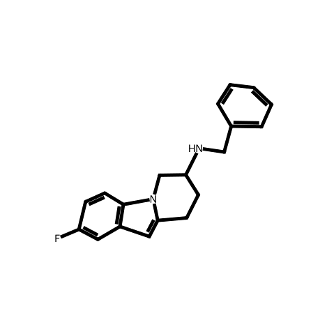 Fc1ccc2c(c1)cc1n2CC(NCc2ccccc2)CC1